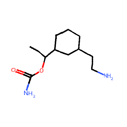 CC(OC(N)=O)C1CCCC(CCN)C1